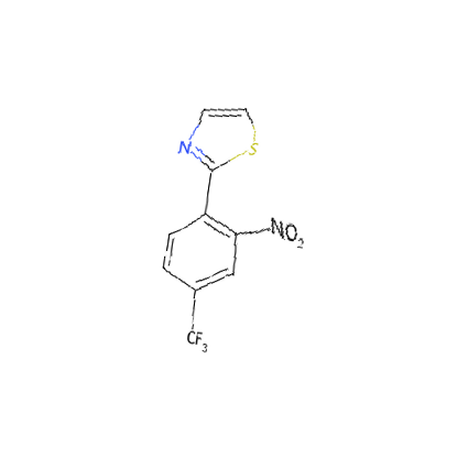 O=[N+]([O-])c1cc(C(F)(F)F)ccc1-c1nccs1